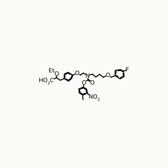 CCOC(Cc1ccc(OCCN(CCCCOCc2ccc(F)cc2)C(=O)Oc2ccc(C)c([N+](=O)[O-])c2)cc1)C(=O)O